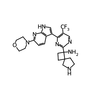 NC1(c2ncc(C(F)(F)F)c(-c3c[nH]c4nc(N5CCOCC5)ccc34)n2)CCC12CCNC2